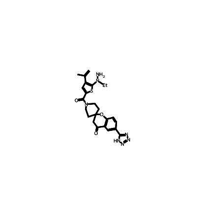 C=C(C)c1cc(C(=O)N2CCC3(CC2)CC(=O)c2cc(-c4nnn[nH]4)ccc2O3)sc1N(N)CC